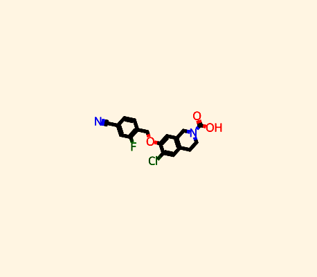 N#Cc1ccc(COc2cc3c(cc2Cl)CCN(C(=O)O)C3)c(F)c1